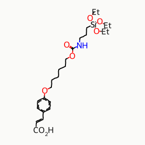 CCO[Si](CCCNC(=O)OCCCCCCOc1ccc(C=CC(=O)O)cc1)(OCC)OCC